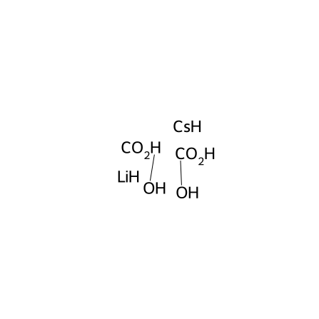 O=C(O)O.O=C(O)O.[CsH].[LiH]